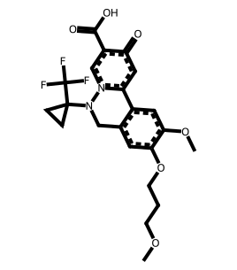 COCCCOc1cc2c(cc1OC)-c1cc(=O)c(C(=O)O)cn1N(C1(C(F)(F)F)CC1)C2